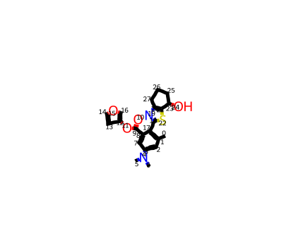 Cc1cc(N(C)C)cc(C(=O)Oc2ccoc2)c1-c1nc2c(s1)C(O)CCC2